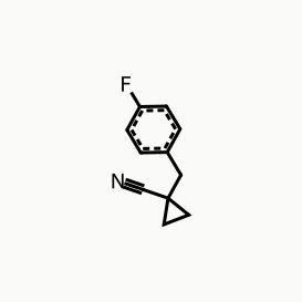 N#CC1(Cc2ccc(F)cc2)CC1